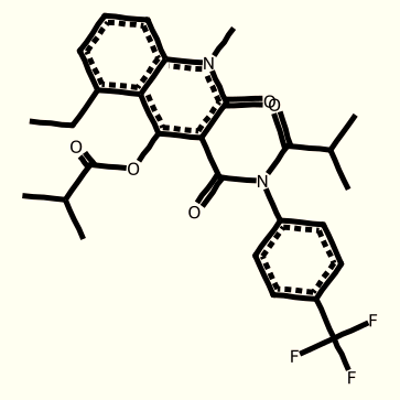 CCc1cccc2c1c(OC(=O)C(C)C)c(C(=O)N(C(=O)C(C)C)c1ccc(C(F)(F)F)cc1)c(=O)n2C